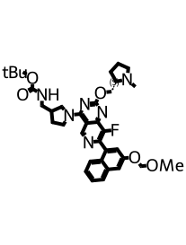 COCOc1cc(-c2ncc3c(N4CCC(CNC(=O)OC(C)(C)C)C4)nc(OC[C@@H]4CCCN4C)nc3c2F)c2ccccc2c1